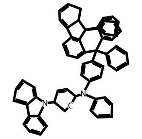 C1=CCC2C(=C1)c1cccc3c1C2(c1ccccc1)c1ccccc1C3(c1ccccc1)c1ccc(N(c2ccccc2)C2C=CC(n3c4ccccc4c4ccccc43)CC2)cc1